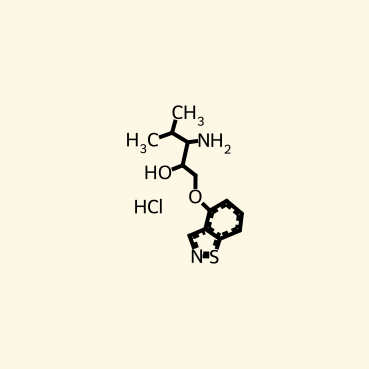 CC(C)C(N)C(O)COc1cccc2sncc12.Cl